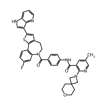 Cc1cnc(N2CC3(CCOCC3)C2)c(C(=O)Nc2ccc(C(=O)N3CCc4cc(-c5c[nH]c6cccnc56)sc4-c4ccc(F)cc43)cc2)c1